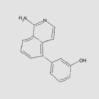 Nc1nccc2c(-c3cccc(O)c3)cccc12